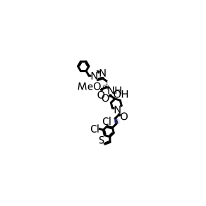 COC(=O)[C@H](Cc1cn(CC2C=CC=CC2)cn1)NC(=O)C1(O)CCN(C(=O)/C=C/c2cc3ccsc3c(Cl)c2Cl)CC1